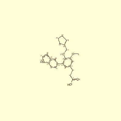 COc1cc(CCC(=O)O)cc(-c2ccc3[nH]ccc3c2)c1OCC1CCCC1